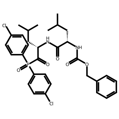 CC(C)C[C@H](NC(=O)OCc1ccccc1)C(=O)N[C@@H](CC(C)C)C(=O)P(=O)(c1ccc(Cl)cc1)c1ccc(Cl)cc1